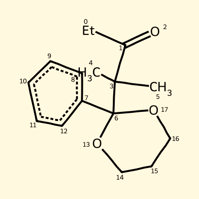 CCC(=O)C(C)(C)C1(c2ccccc2)OCCCO1